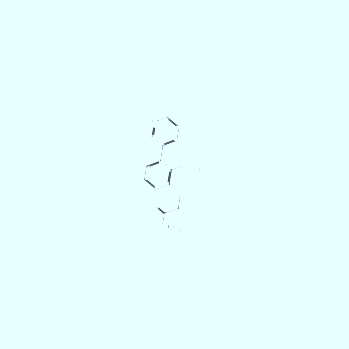 COC(=O)C(C)Oc1cccc(-c2cccnc2)c1C